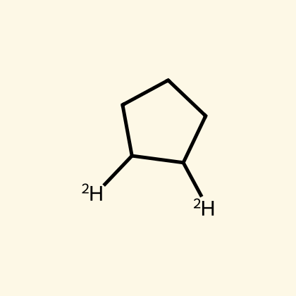 [2H]C1CCCC1[2H]